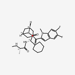 CN[C@@H](C)C(=O)N[C@H](C(=O)N1[C@@H]2C[C@H]1CN(C(=O)c1cc3cc(F)c(F)cc3n1C)C2)C1CCCCC1